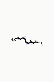 C=N/C=C(I)/C=C\C=C/C=C/C